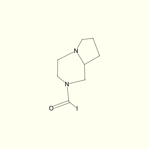 O=C(I)N1CCN2CCCC2C1